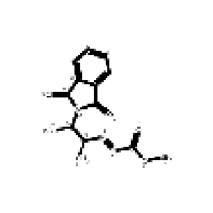 CCCC[C@H]([C@H](C)N=NC(=O)OC(C)(C)C)N1C(=O)c2ccccc2C1=O